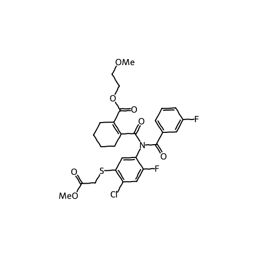 COCCOC(=O)C1=C(C(=O)N(C(=O)c2cccc(F)c2)c2cc(SCC(=O)OC)c(Cl)cc2F)CCCC1